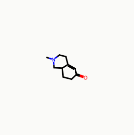 CN1CCC2=CC(=O)CCC2C1